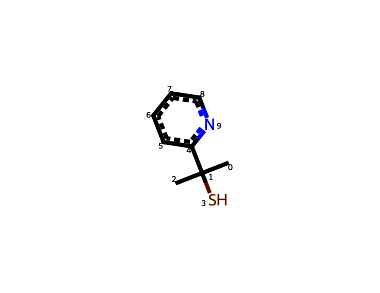 CC(C)(S)c1ccccn1